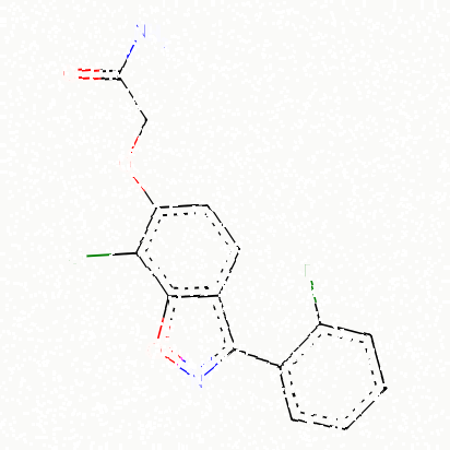 NC(=O)COc1ccc2c(-c3ccccc3F)noc2c1Cl